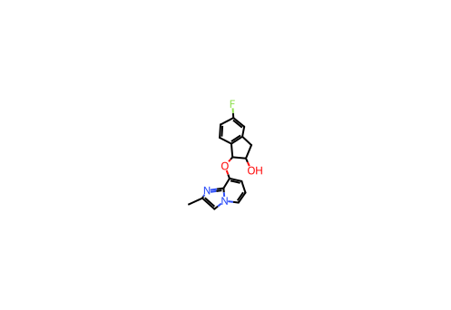 Cc1cn2cccc(OC3c4ccc(F)cc4CC3O)c2n1